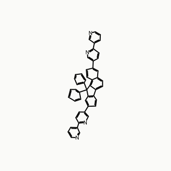 c1ccc(C2(c3ccccc3)c3cc(-c4ccc(-c5cccnc5)nc4)ccc3-c3ccc4cc(-c5ccc(-c6cccnc6)nc5)ccc4c32)cc1